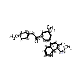 C/N=C\c1c(F)cc([C@H]2C[C@@H](C)CN(C(=O)CC3CCN(C)CC3)C2)c2cccnc12